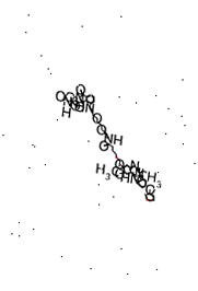 COc1cc2c(Nc3ccc(Oc4ccccc4)cc3C)ncnc2cc1OCCCCCC(=O)NCCOCCOCCNc1cccc2c1C(=O)N(C1CCC(=O)NC1=O)C2=O